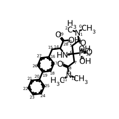 CN(C)C(=O)CC(CC(=O)N(C)C)(NC(Cc1ccc(-c2ccccc2)cc1)C(=O)O)P(=O)(O)O